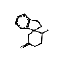 CC1CCC(=O)CC12CCc1ccccc12